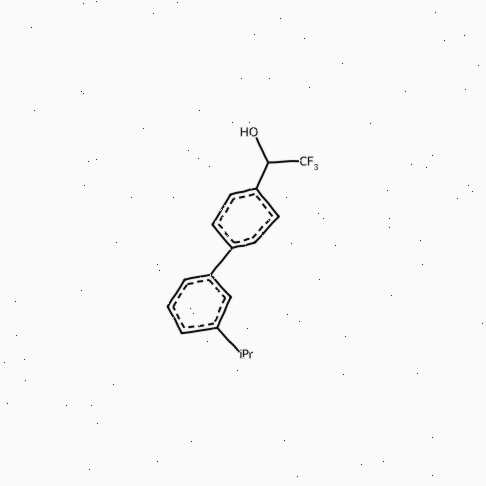 CC(C)c1cccc(-c2ccc(C(O)C(F)(F)F)cc2)c1